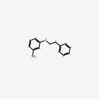 Nc1c[c]cc(OCCc2ccccc2)c1